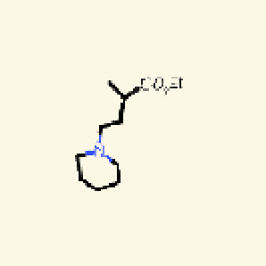 CCOC(=O)C(C)CCN1CCCCC1